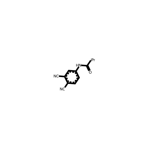 CC(C)C(=O)Nc1ccc(C#N)c(C#N)c1